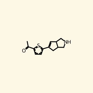 CC(=O)c1ccc(C2=CC3CNCC3C2)s1